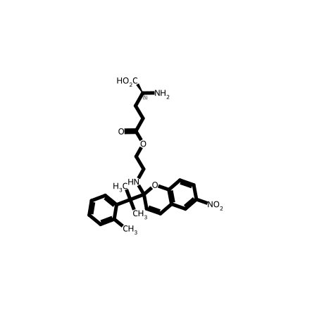 Cc1ccccc1C(C)(C)C1(NCCOC(=O)CC[C@H](N)C(=O)O)C=Cc2cc([N+](=O)[O-])ccc2O1